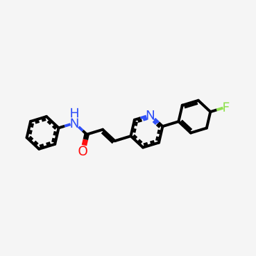 O=C(/C=C/c1ccc(C2=CCC(F)C=C2)nc1)Nc1ccccc1